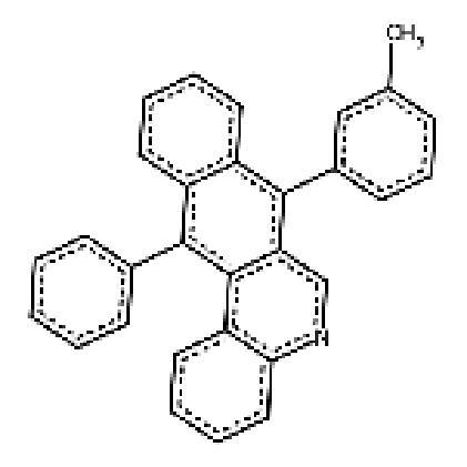 Cc1cccc(-c2c3ccccc3c(-c3ccccc3)c3c2cnc2ccccc23)c1